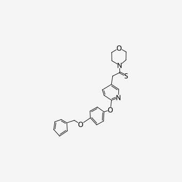 S=C(Cc1ccc(Oc2ccc(OCc3ccccc3)cc2)nc1)N1CCOCC1